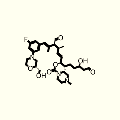 C/C(=C\c1cc(F)cc(N2CCO[C@@H](CO)C2)c1)[C@@H](C=O)[C@@H](C)/C=C/[C@H](OC(=O)N1CCN(C)CC1)[C@@H](C)CC[C@@H](O)CC=O